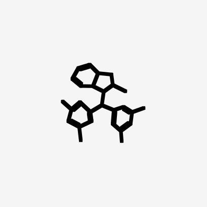 Cc1cc(C)cc(C(c2cc(C)cc(C)c2)C2C(C)CC3C=CC=CC32)c1